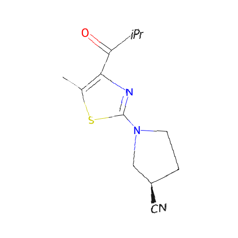 Cc1sc(N2CC[C@@H](C#N)C2)nc1C(=O)C(C)C